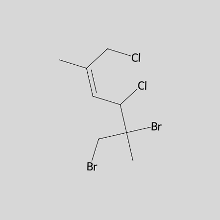 CC(=CC(Cl)C(C)(Br)CBr)CCl